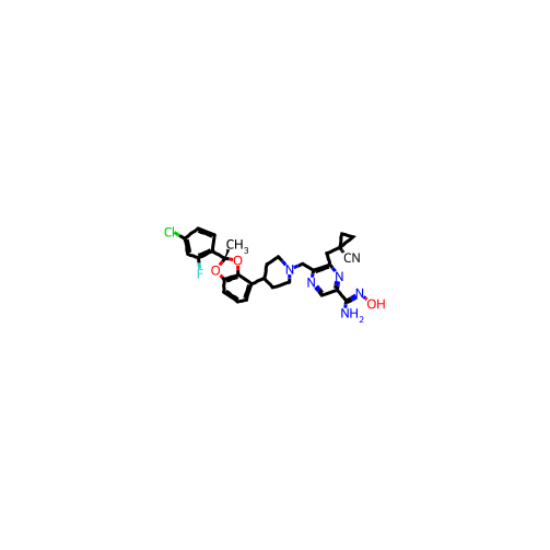 C[C@]1(c2ccc(Cl)cc2F)Oc2cccc(C3CCN(Cc4ncc(C(N)=NO)nc4CC4(C#N)CC4)CC3)c2O1